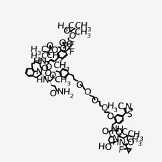 C/C(=C\C(=O)N[C@H]1CCc2cccc3c2N(C1=O)[C@H](C(=O)N[C@@H](CCC(N)=O)[C@@H](C)OCc1ccc(CCCOCCOCCOCCOCCOc2cc(-c4scnc4C)ccc2CNC(=O)[C@@H]2C[C@@H](O)CN2C(=O)[C@@H](NC(=O)C2(F)CC2)C(C)(C)C)cc1)C3)c1ccc(C(F)(F)P(=O)(OCOC(=O)C(C)(C)C)OCOC(=O)C(C)(C)C)cc1